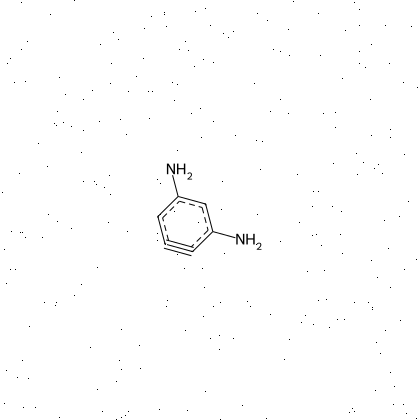 Nc1c#ccc(N)c1